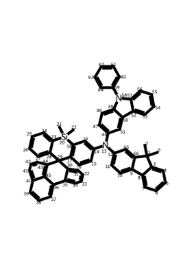 CC1(C)c2ccccc2-c2ccc(N(c3ccc4c(c3)[Si](C)(C)c3ccccc3C43c4ccccc4-c4cccc5cccc3c45)c3ccc4c(c3)c3ccccc3n4-c3ccccc3)cc21